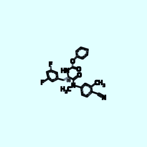 Cc1cc(N(C)C(=O)[C@H](Cc2cc(F)cc(F)c2)NC(=O)Oc2ccccc2)ccc1C#N